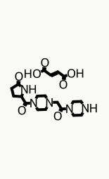 O=C(O)C=CC(=O)O.O=C1CCC(C(=O)N2CCN(CC(=O)N3CCNCC3)CC2)N1